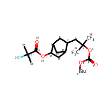 CC(C)(C)OC(=O)OC(CC1CC2CC1CC2OC(=O)C(C)(C)F)(C(F)(F)F)C(F)(F)F